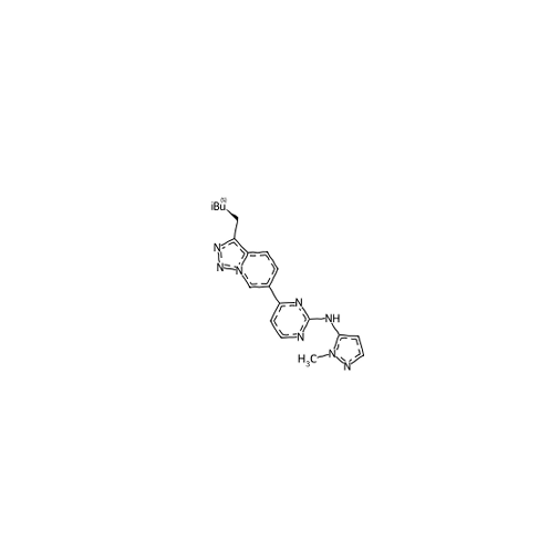 CC[C@H](C)Cc1nnn2cc(-c3ccnc(Nc4ccnn4C)n3)ccc12